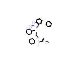 Cc1nc(CN(CCC[C@@H](C2CCCCC2)N2Cc3cc(Oc4ccccc4)ccc3N=C2N)[C@H]2CCCC[C@@H]2O)cs1